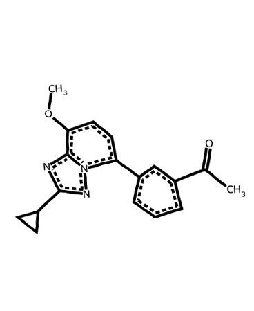 COc1ccc(-c2cccc(C(C)=O)c2)n2nc(C3CC3)nc12